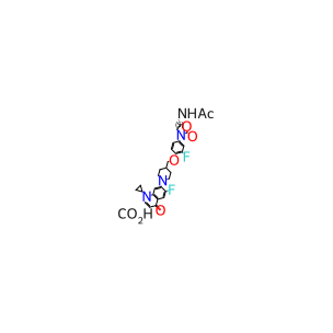 CC(=O)NC[C@H]1CN(c2ccc(OCC3CCN(c4cc5c(cc4F)c(=O)c(C(=O)O)cn5C4CC4)CC3)c(F)c2)C(=O)O1